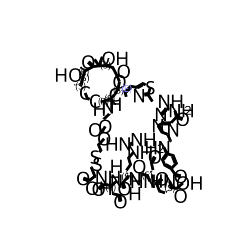 C/C(=C\c1csc(C)n1)[C@@H]1C[C@H]2[C@@H](CCC[C@H](C)[C@H](O)[C@@H](C)C(=O)C(C)(C)[C@@H](O)CC(=O)O1)N2CCOC(=O)OCCSSCC(NC(=O)[C@H](CC=O)NC(=O)[C@H](CCCNC(=N)N)NC(=O)[C@H](CC=O)NC(=O)CC[C@H](NC(=O)c1ccc(NCc2cnc3nc(N)[nH]c(=O)c3n2)cc1)C(=O)O)C(=O)O